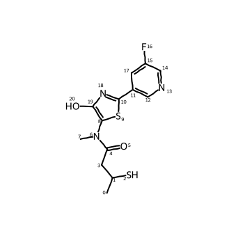 CC(S)CC(=O)N(C)c1sc(-c2cncc(F)c2)nc1O